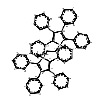 C[Si]1(CC[Si]2(C)C(c3ccccc3)=C(c3ccccc3)C(c3ccccc3)=C2c2ccccc2)C(c2ccccc2)=C(c2ccccc2)C(c2ccccc2)=C1c1ccccc1